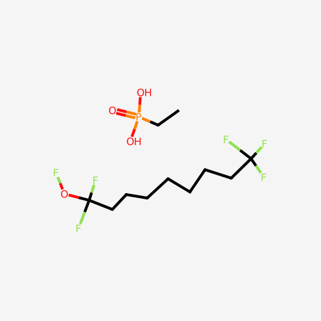 CCP(=O)(O)O.FOC(F)(F)CCCCCCCC(F)(F)F